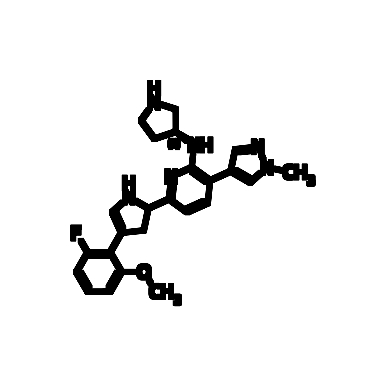 COc1cccc(F)c1C1=CNC(c2ccc(-c3cnn(C)c3)c(N[C@H]3CCNC3)n2)C1